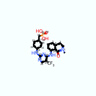 Cn1ccc2cccc(Nc3nc(Nc4ccc(CP(=O)(O)O)cc4)ncc3C(F)(F)F)c2c1=O